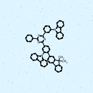 CC1(C)c2ccccc2-c2ccc(-c3ccc(-c4nc(-c5ccccc5)nc(-c5cccc(-n6c7ccccc7c7ccccc76)c5)n4)cc3-n3c4ccccc4c4ccccc43)cc21